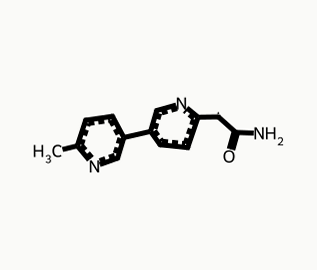 Cc1ccc(-c2ccc([CH]C(N)=O)nc2)cn1